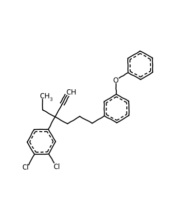 C#CC(CC)(CCCc1cccc(Oc2ccccc2)c1)c1ccc(Cl)c(Cl)c1